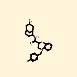 CCC1CC2CCC(NC(=O)C3CN(Cc4ccc(F)cc4)c4ccccc4O3)C(C1)C2